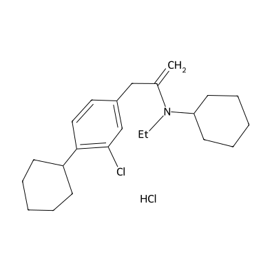 C=C(Cc1ccc(C2CCCCC2)c(Cl)c1)N(CC)C1CCCCC1.Cl